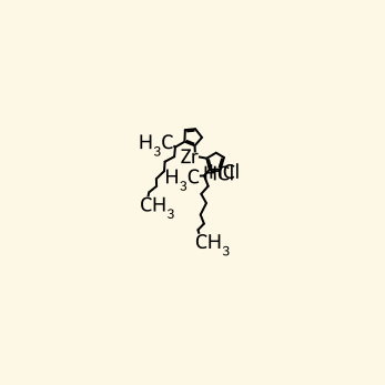 CCCCCCCC(C)C1=[C]([Zr][C]2=C(C(C)CCCCCCC)C=CC2)CC=C1.Cl.Cl